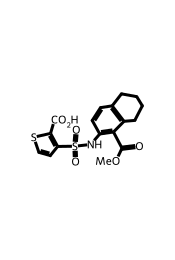 COC(=O)c1c(NS(=O)(=O)c2ccsc2C(=O)O)ccc2c1CCCC2